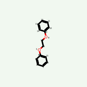 [c]1cccc(OCCOc2c[c]ccc2)c1